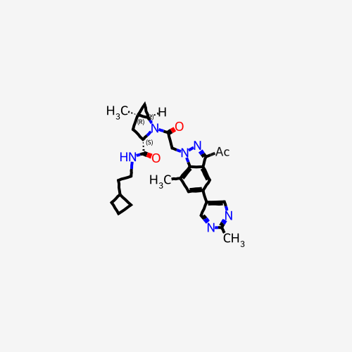 CC(=O)c1nn(CC(=O)N2[C@H](C(=O)NCCC3CCC3)C[C@@]3(C)C[C@@H]23)c2c(C)cc(-c3cnc(C)nc3)cc12